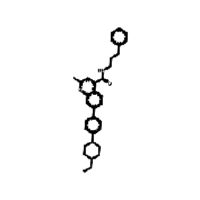 CCC1CCC(c2ccc(-c3ccc4c(C(=O)NCCCc5ccccc5)cc(C)nc4c3)cc2)CC1